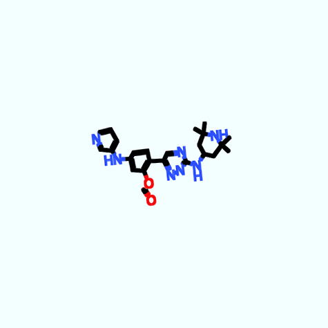 CC1(C)CC(Nc2ncc(-c3ccc(Nc4cccnc4)cc3OC=O)nn2)CC(C)(C)N1